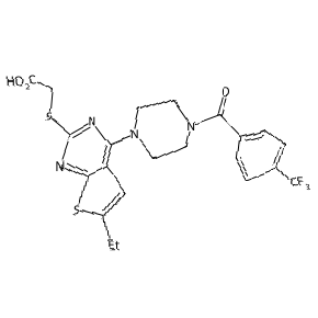 CCc1cc2c(N3CCN(C(=O)c4ccc(C(F)(F)F)cc4)CC3)nc(SCC(=O)O)nc2s1